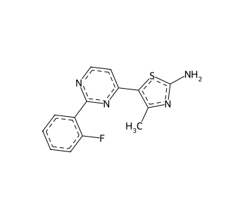 Cc1nc(N)sc1-c1ccnc(-c2ccccc2F)n1